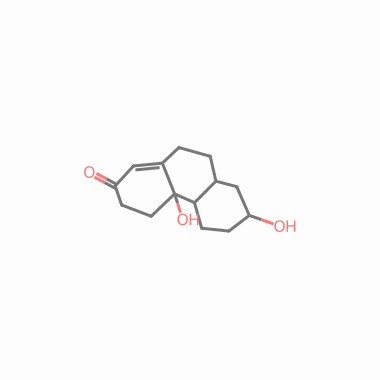 O=C1C=C2CCC3CC(O)CCC3C2(O)CC1